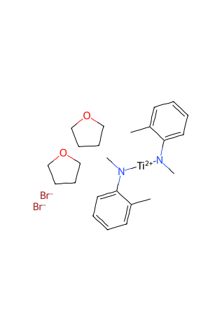 C1CCOC1.C1CCOC1.Cc1ccccc1[N](C)[Ti+2][N](C)c1ccccc1C.[Br-].[Br-]